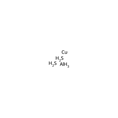 S.S.[AlH3].[Cu]